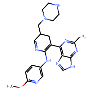 COc1ccc(NC2=C(c3nc(C)nc4[nH]cnc34)CC(CN3CCNCC3)C=N2)cn1